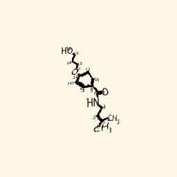 CC(C)CCNC(=O)c1ccc(OCCCO)cc1